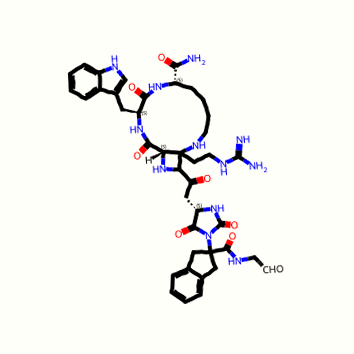 N=C(N)NCCC12NCCCC[C@@H](C(N)=O)NC(=O)[C@H](Cc3c[nH]c4ccccc34)NC(=O)[C@H]1NC2C(=O)C[C@@H]1NC(=O)N(C2(C(=O)NCC=O)Cc3ccccc3C2)C1=O